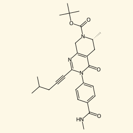 CNC(=O)c1ccc(-n2c(C#CCC(C)C)nc3c(c2=O)C[C@@H](C)N(C(=O)OC(C)(C)C)C3)cc1